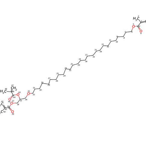 C=C(C)C(=O)OCCCCCCCCCCCCCCCCCCCCCCCCCCCOCC(COC(=O)C(=C)C)OC(=O)C(=C)C